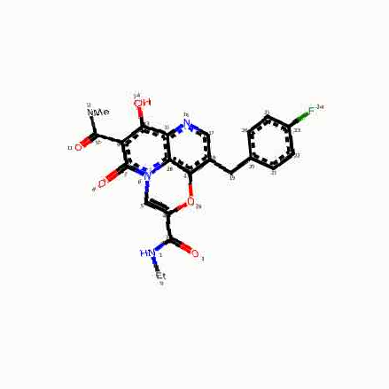 CCNC(=O)C1=Cn2c(=O)c(C(=O)NC)c(O)c3ncc(Cc4ccc(F)cc4)c(c32)O1